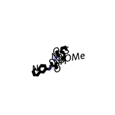 COC(=O)c1sccc1S(=O)(=O)/N=C1\NC(=O)/C(=C/c2ccc3ncccc3c2)S1